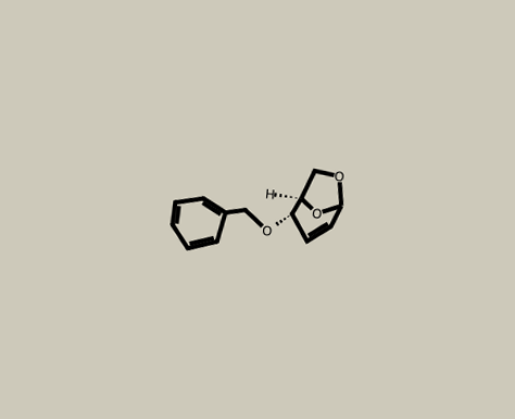 C1=C[C@H](OCc2ccccc2)[C@H]2COC1O2